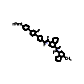 CCCCCc1ccc(-c2ccc(-c3ccc(/C(F)=C(\F)c4ccc(/C(F)=C(\F)c5ccc(C)c6ccccc56)c5ccccc45)cc3)c(F)c2)cc1